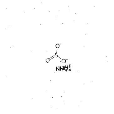 O=S([O-])[O-].[NH4+].[NH4+].[U]